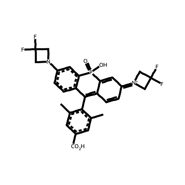 Cc1cc(C(=O)O)cc(C)c1C1=C2C=CC(=[N+]3CC(F)(F)C3)C=C2P(=O)(O)c2cc(N3CC(F)(F)C3)ccc21